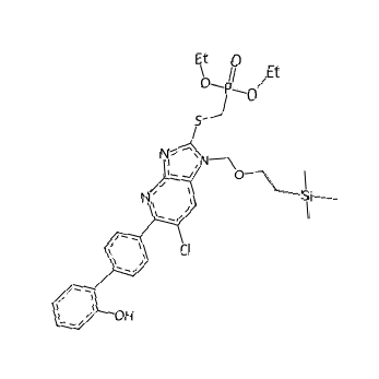 CCOP(=O)(CSc1nc2nc(-c3ccc(-c4ccccc4O)cc3)c(Cl)cc2n1COCC[Si](C)(C)C)OCC